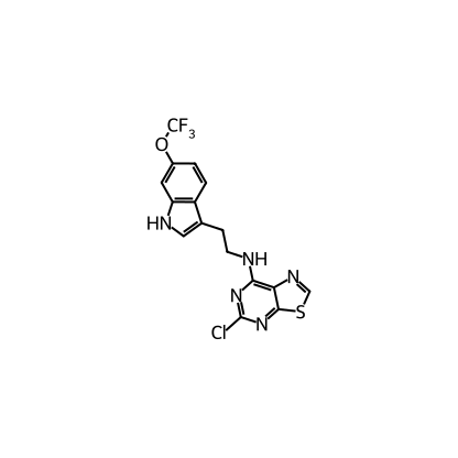 FC(F)(F)Oc1ccc2c(CCNc3nc(Cl)nc4scnc34)c[nH]c2c1